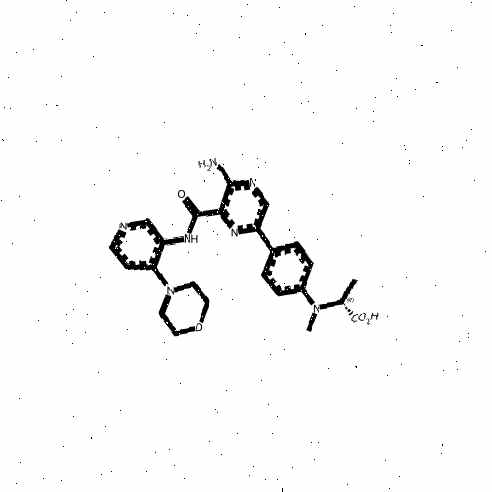 C[C@H](C(=O)O)N(C)c1ccc(-c2cnc(N)c(C(=O)Nc3cnccc3N3CCOCC3)n2)cc1